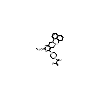 C=C(F)C(=O)N1CCN(c2nc(OC)nc3c2COC(c2cccc4cccc(Cl)c24)C3)CC1